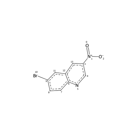 O=[N+]([O-])c1cnc2ccc(Br)cc2c1